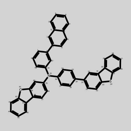 c1cc(-c2ccc3ccccc3c2)cc(N(c2ccc(-c3ccc4sc5ccccc5c4c3)cc2)c2ccc3c(c2)oc2ccccc23)c1